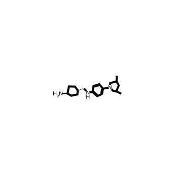 CC1CC(C)CN(c2ccc(NC[C@H]3CC[C@H](N)CC3)cc2)C1